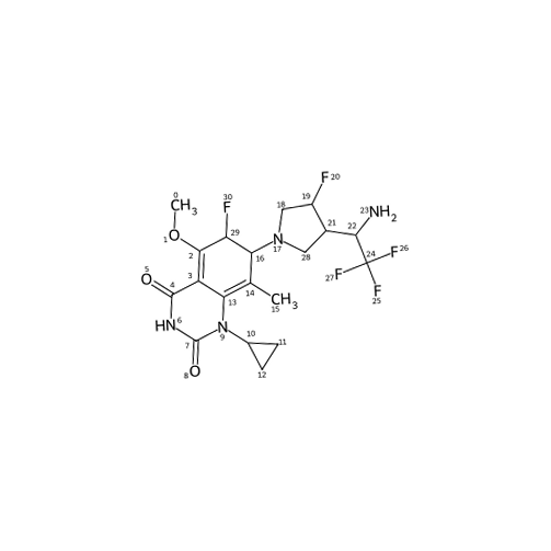 COC1=c2c(=O)[nH]c(=O)n(C3CC3)c2=C(C)C(N2CC(F)C(C(N)C(F)(F)F)C2)C1F